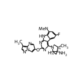 CNc1cc(F)cc2c1[nH]c1nc(Oc3cnc4c(C)cnn4c3)nc(N3C[C@@H](C)[C@@]4(N)C[C@H]34)c12